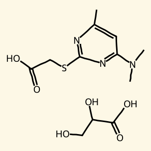 Cc1cc(N(C)C)nc(SCC(=O)O)n1.O=C(O)C(O)CO